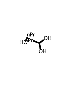 CCCC(O)O.CCCO